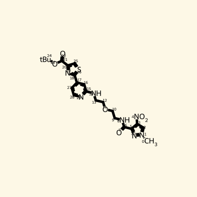 Cn1cc([N+](=O)[O-])c(C(=O)NCCOCCNc2cc(-c3nc(C(=O)OC(C)(C)C)cs3)ccn2)n1